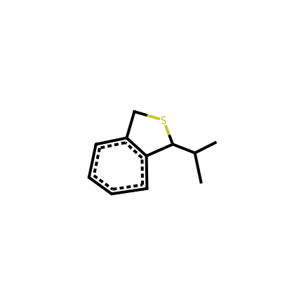 CC(C)C1SCc2ccccc21